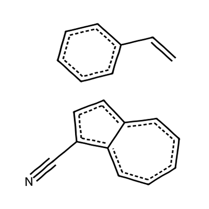 C=Cc1ccccc1.N#Cc1ccc2cccccc1-2